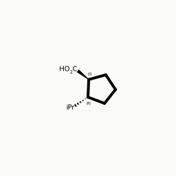 CC(C)[C@H]1CCC[C@@H]1C(=O)O